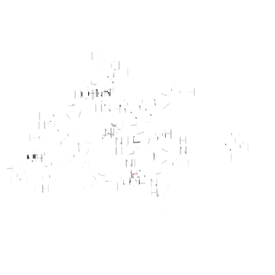 CN[C@H](CC(C)C)C(=O)N[C@H]1C(=O)N[C@@H](CC(=O)NC(=O)Nc2ccc(OC)cc2)C(=O)N[C@H]2C(=O)N[C@H]3C(=O)N[C@H](C(=O)N[C@H](C(=O)NC4C5CC6CC(C5)CC4C6)c4cc(O)c(CNCCCCCNC(C)=O)c(C)c4-c4cc3ccc4O)[C@H](O)c3ccc(c(Cl)c3)Oc3cc2cc(c3O[C@@H]2O[C@H](CO)[C@@H](O)[C@H](O)[C@H]2O[C@H]2C[C@](C)(N)[C@H](O)[C@H](C)O2)Oc2ccc(cc2C)[C@H]1O